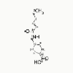 CCCC=CC(=O)NCC1CCC(C(=O)O)CC1